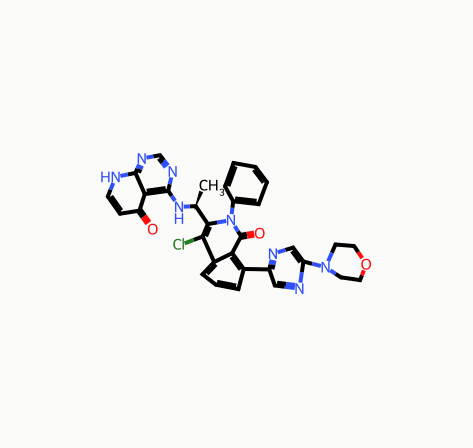 C[C@H](Nc1ncnc2[nH]ccc(=O)c12)c1c(Cl)c2cccc(-c3cnc(N4CCOCC4)cn3)c2c(=O)n1-c1ccccc1